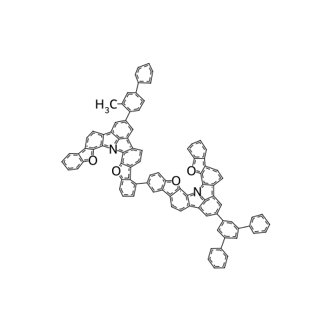 Cc1cc(-c2ccccc2)ccc1-c1cc2c3ccc4c5ccccc5oc4c3n3c2c(c1)c1ccc2c(oc4cccc(-c5ccc6oc7c(ccc8c9cc(-c%10cc(-c%11ccccc%11)cc(-c%11ccccc%11)c%10)cc%10c%11ccc%12c%13ccccc%13oc%12c%11n(c%109)c87)c6c5)c42)c13